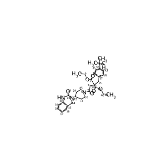 CCOC(=O)C(CC(=O)N1CCC(N2Cc3ccccc3NC2=O)CC1)(Cc1ccc(C(C)(C)C)cc1)C(=O)OCC